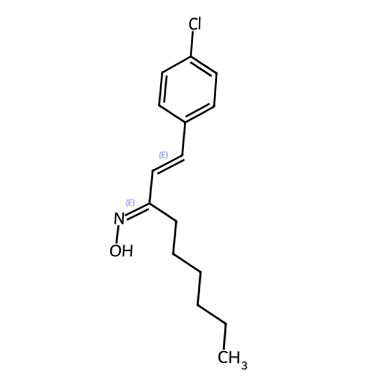 CCCCCCC(/C=C/c1ccc(Cl)cc1)=N\O